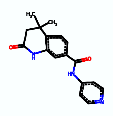 CC1(C)CC(=O)Nc2cc(C(=O)Nc3ccncc3)ccc21